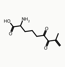 C=C(C)C(=O)C(=O)CCCC(N)C(=O)O